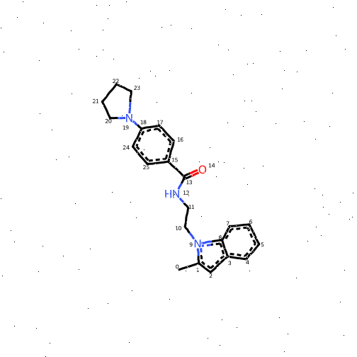 Cc1cc2ccccc2n1CCNC(=O)c1ccc(N2CCCC2)cc1